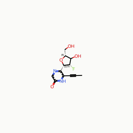 CC#Cc1[nH]c(=O)cnc1[C@@H]1O[C@H](CO)C(O)[C@@H]1F